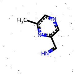 Cc1cncc(C=N)n1